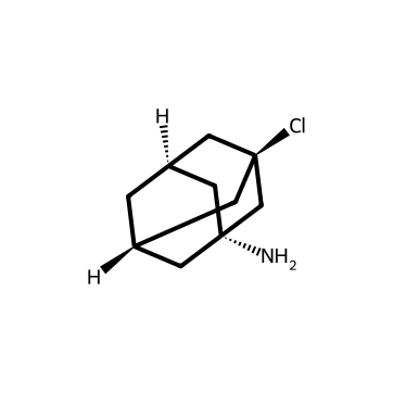 N[C@@]12C[C@H]3C[C@@H](C1)C[C@](Cl)(C3)C2